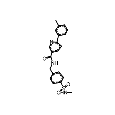 CNS(=O)(=O)c1ccc(CNC(=O)c2ccc(-c3cccc(C)c3)nc2)cc1